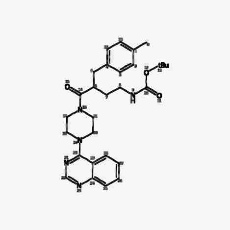 Cc1ccc(CC(CCNC(=O)OC(C)(C)C)C(=O)N2CCN(c3ncnc4ccccc34)CC2)cc1